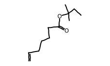 C=CCCCCC(=O)OC(C)(C)CC